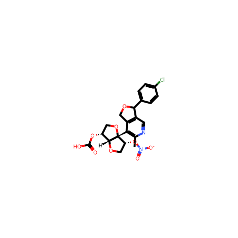 Cc1ncc2c(c1[C@]13OC[C@@H](OC(=O)O)[C@H]1OC[C@H]3O[N+](=O)[O-])COC2c1ccc(Cl)cc1